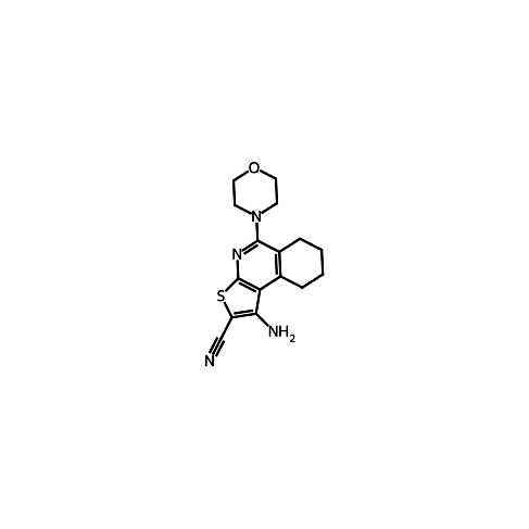 N#Cc1sc2nc(N3CCOCC3)c3c(c2c1N)CCCC3